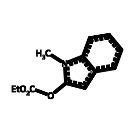 CCOC(=O)Oc1cc2ccccc2n1C